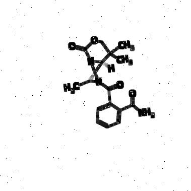 CC1N(C(=O)c2ccccc2C(N)=O)[C@@]12[C@H]1N2C(=O)OCC1(C)C